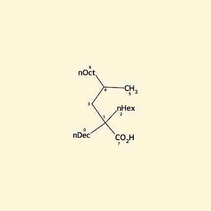 CCCCCCCCCCC(CCCCCC)(CC(C)CCCCCCCC)C(=O)O